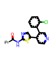 CC(C)C(=O)Nc1ncc(-c2ccncc2-c2ccccc2Cl)s1